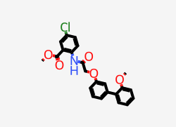 COC(=O)c1cc(Cl)ccc1NC(=O)COc1cccc(-c2ccccc2OC)c1